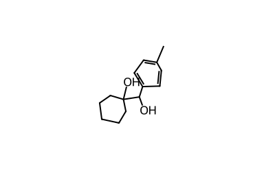 Cc1ccc(C(O)C2(O)CCCCC2)cc1